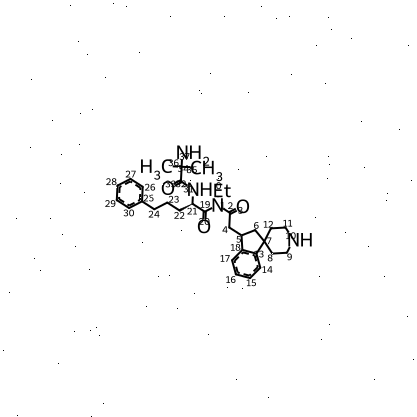 CCN(C(=O)CC1CC2(CCNCC2)c2ccccc21)C(=O)[C@@H](CCCc1ccccc1)NC(=O)C(C)(C)N